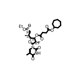 CCO[PH](=O)C[C@H](C)[C@H]1O[C@@H](n2cc(C)c(=O)[nH]c2=O)[C@H](F)[C@@H]1OC(=O)CCC(=O)OC1CCCCCC1